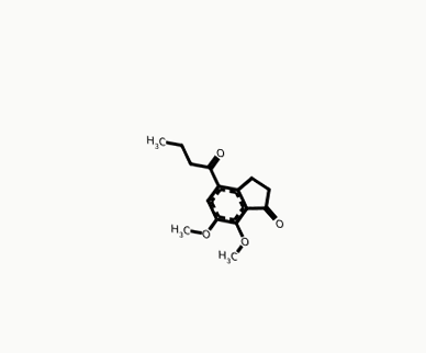 CCCC(=O)c1cc(OC)c(OC)c2c1CCC2=O